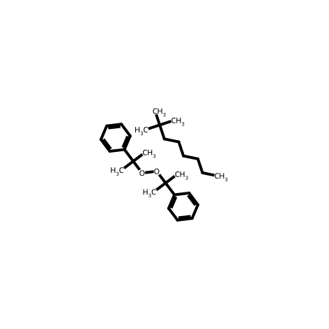 CC(C)(OOC(C)(C)c1ccccc1)c1ccccc1.CCCCCCC(C)(C)C